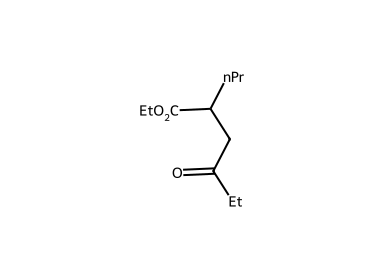 CCCC(CC(=O)CC)C(=O)OCC